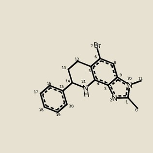 Cc1nc2c3c(c(Br)cc2n1C)CCC(c1ccccc1)N3